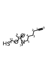 C#CCCCCN(C)P(C)(=O)OCS